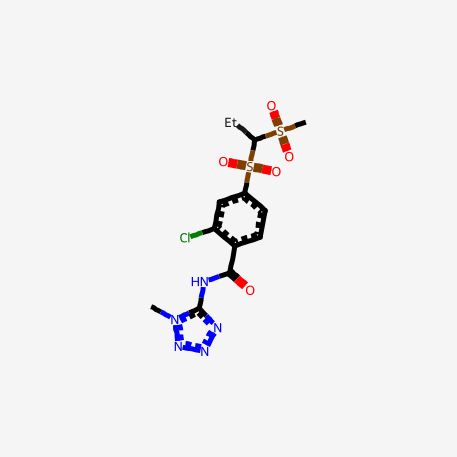 CCC(S(C)(=O)=O)S(=O)(=O)c1ccc(C(=O)Nc2nnnn2C)c(Cl)c1